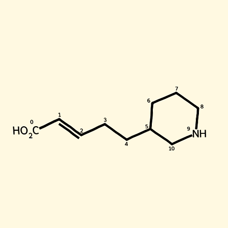 O=C(O)C=CCCC1CCCNC1